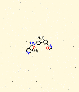 Cc1cnccc1CC(=O)Nc1ccc(-c2cc(-c3ncco3)ccc2C)cc1